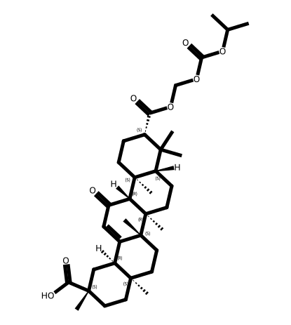 CC(C)OC(=O)OCOC(=O)[C@H]1CC[C@]2(C)[C@H]3C(=O)C=C4[C@@H]5C[C@@](C)(C(=O)O)CC[C@]5(C)CC[C@@]4(C)[C@]3(C)CC[C@H]2C1(C)C